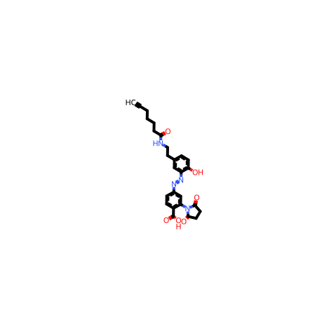 C#CCCCCC(=O)NCCc1ccc(O)c(N=Nc2ccc(C(=O)O)c(N3C(=O)CCC3=O)c2)c1